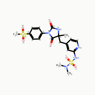 CN(C)S(=O)(=O)Nc1cc(CC2(C)NC(=O)N(c3ccc(S(=O)(=O)C(F)(F)F)cc3)C2=O)ccn1